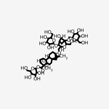 C=C1CC23CC[C@H]4[C@@](C)(CCC[C@@]4(C)C(=O)O[C@@H]4OC(CO)[C@@H](O)C(O)C4O)[C@@H]2CC[C@]1(OC[C@@H]1OC(CO)C2(OC[C@@H]4OC(CO)[C@@H](O)C(O)C4O)CC(C1O[C@@H]1OC(CO)[C@@H](O)C(O)C1O)[C@@H]2O)C3